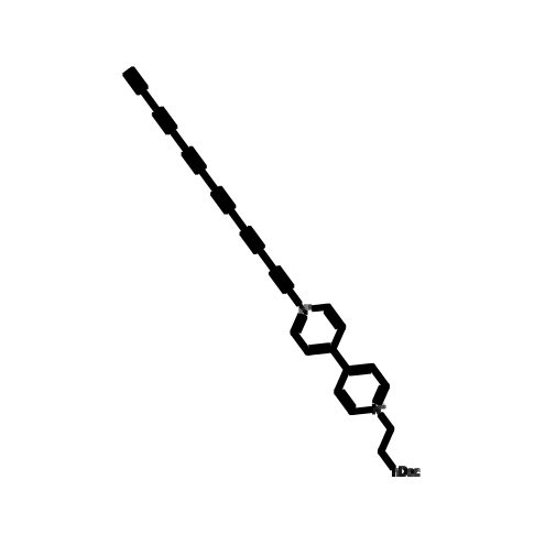 C#CC#CC#CC#CC#CC#C[n+]1ccc(-c2cc[n+](CCCCCCCCCCCC)cc2)cc1